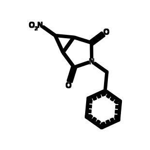 O=C1C2C(C(=O)N1Cc1ccccc1)C2[N+](=O)[O-]